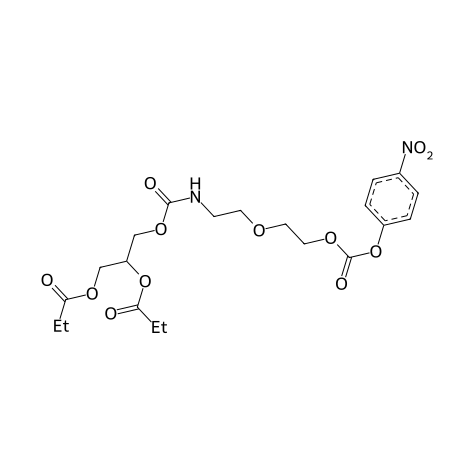 CCC(=O)OCC(COC(=O)NCCOCCOC(=O)Oc1ccc([N+](=O)[O-])cc1)OC(=O)CC